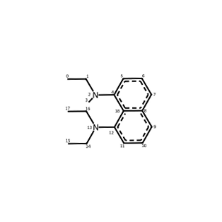 CCN(C)c1cccc2cccc(N(CC)CC)c12